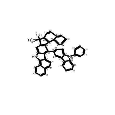 CC1(C)c2cc3[nH]c4c5ccccc5ccc4c3c(-c3ccc4c(c3)c3ccccc3n4-c3ccccc3)c2-c2c1ccc1ccccc21